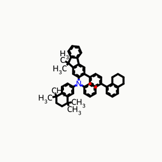 CC1(C)CCC(C)(C)c2cc(N(c3ccccc3)c3cc4c(cc3-c3ccc(-c5cccc6c5CCCC6)cc3)-c3ccccc3C4(C)C)ccc21